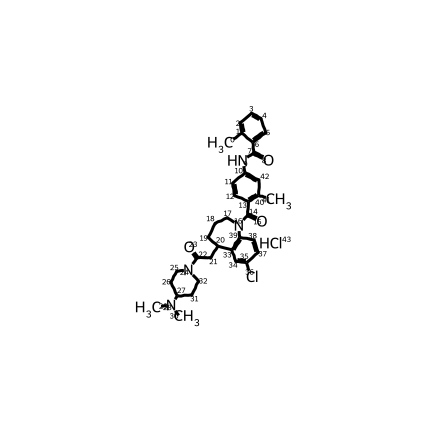 Cc1ccccc1C(=O)Nc1ccc(C(=O)N2CCCC(CC(=O)N3CCC(N(C)C)CC3)c3cc(Cl)ccc32)c(C)c1.Cl